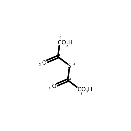 O=C(O)C(=O)SC(=O)C(=O)O